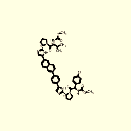 COC(=O)NC(C(=O)N1CCC[C@H]1c1ncc(-c2ccc(-c3ccc4cc(-c5cnc([C@@H]6CCCN6C(=O)[C@@H](NC(=O)OC)C(C)C)[nH]5)ccc4c3)cc2)[nH]1)c1ccc(Cl)cc1